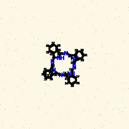 CN1/C2=N\C3N/C(=N\C4N/C(=N\C5N/C(=N\C1c1ccccc12)c1ccccc15)c1ccccc14)c1ccccc13